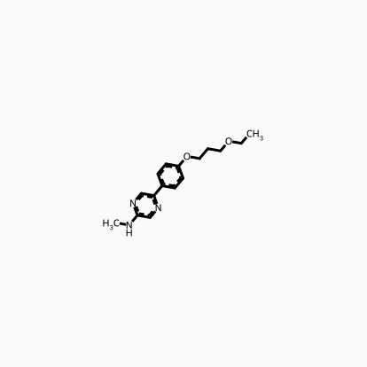 CCOCCCOc1ccc(-c2cnc(NC)cn2)cc1